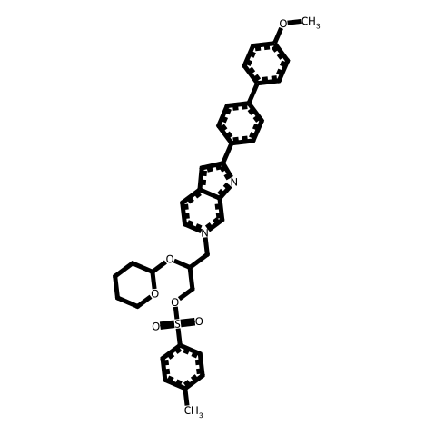 COc1ccc(-c2ccc(-c3cc4ccn(CC(COS(=O)(=O)c5ccc(C)cc5)OC5CCCCO5)cc-4n3)cc2)cc1